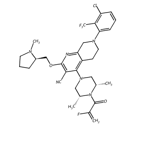 C=C(F)C(=O)N1[C@H](C)CN(c2c(C#N)c(OC[C@H]3CCCN3C)nc3c2CCN(c2cccc(Cl)c2C(F)(F)F)C3)C[C@@H]1C